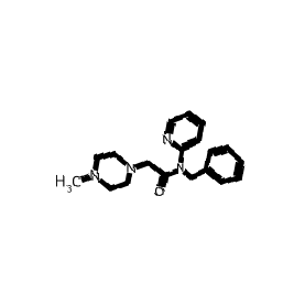 CN1CCN(CC(=O)N(Cc2ccccc2)c2ccccn2)CC1